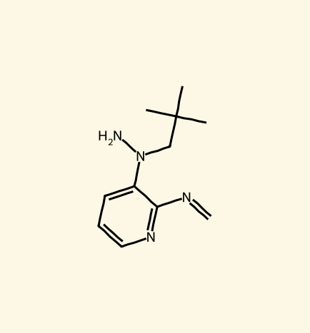 C=Nc1ncccc1N(N)CC(C)(C)C